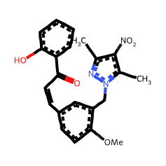 COc1ccc(/C=C\C(=O)c2ccccc2O)cc1Cn1nc(C)c([N+](=O)[O-])c1C